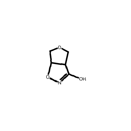 OC1=NOC2COCC12